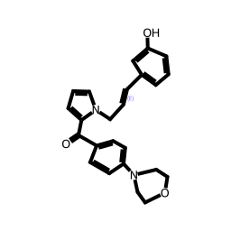 O=C(c1ccc(N2CCOCC2)cc1)c1cccn1C/C=C/c1cccc(O)c1